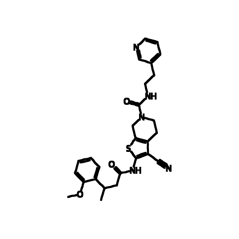 COc1ccccc1C(C)CC(=O)Nc1sc2c(c1C#N)CCN(C(=O)NCCc1cccnc1)C2